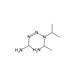 CC(N)/N=N\N(C(C)C)C(C)N